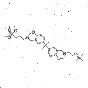 CO[Si](CCCN1COc2ccc(C(C)(C)c3ccc4c(c3)CN(CCC[Si](C)(C)C)CO4)cc2C1)(OC)OC